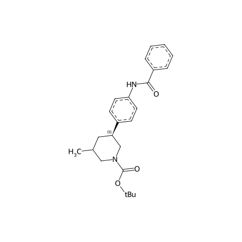 CC1C[C@@H](c2ccc(NC(=O)c3ccccc3)cc2)CN(C(=O)OC(C)(C)C)C1